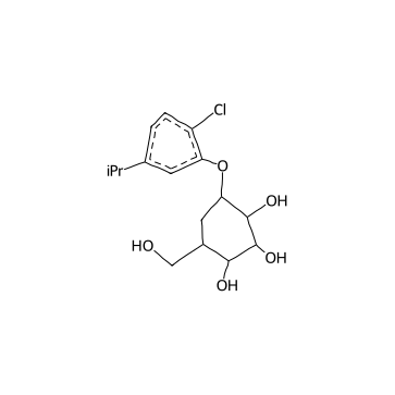 CC(C)c1ccc(Cl)c(OC2CC(CO)C(O)C(O)C2O)c1